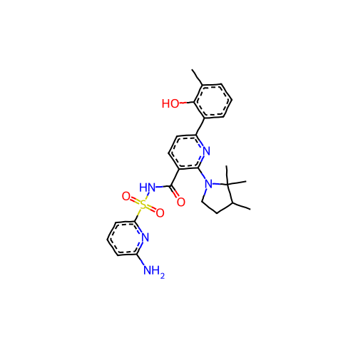 Cc1cccc(-c2ccc(C(=O)NS(=O)(=O)c3cccc(N)n3)c(N3CCC(C)C3(C)C)n2)c1O